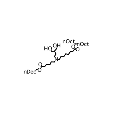 CCCCCCCCCCCOC(=O)CCCCCN(CCCCCCCC(=O)OC(CCCCCCCC)CCCCCCCC)CCC(CO)CO